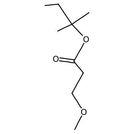 CCC(C)(C)OC(=O)CCOC